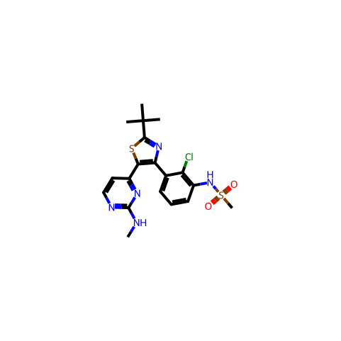 CNc1nccc(-c2sc(C(C)(C)C)nc2-c2cccc(NS(C)(=O)=O)c2Cl)n1